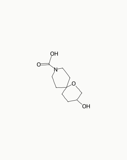 O=C(O)N1CCC2(CCC(O)CO2)CC1